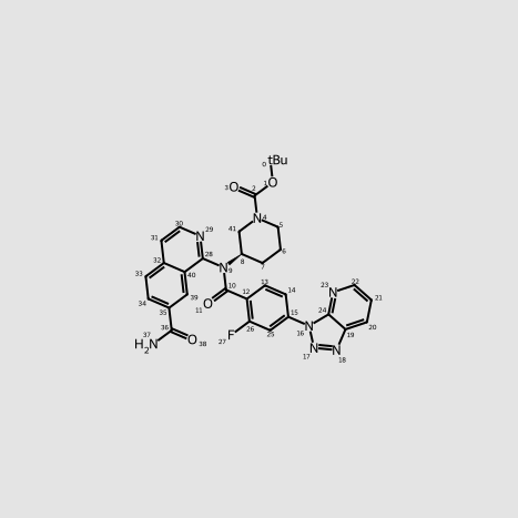 CC(C)(C)OC(=O)N1CCC[C@@H](N(C(=O)c2ccc(-n3nnc4cccnc43)cc2F)c2nccc3ccc(C(N)=O)cc23)C1